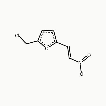 O=[N+]([O-])C=Cc1ccc(CCl)o1